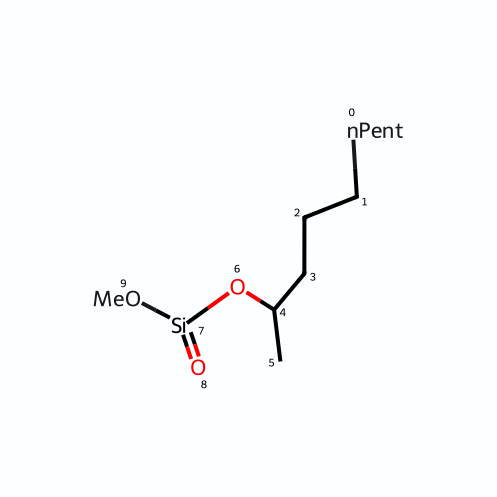 CCCCCCCCC(C)O[Si](=O)OC